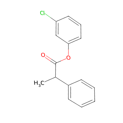 CC(C(=O)Oc1cccc(Cl)c1)c1ccccc1